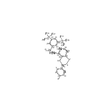 Cc1ccc(N2CCc3ncnc(NC(C)c4cc(C(F)(F)F)cc(C(F)(F)F)c4)c3C2)nc1